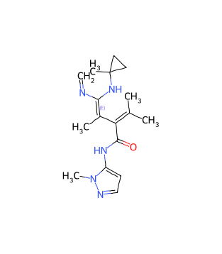 C=N/C(NC1(C)CC1)=C(\C)C(C(=O)Nc1ccnn1C)=C(C)C